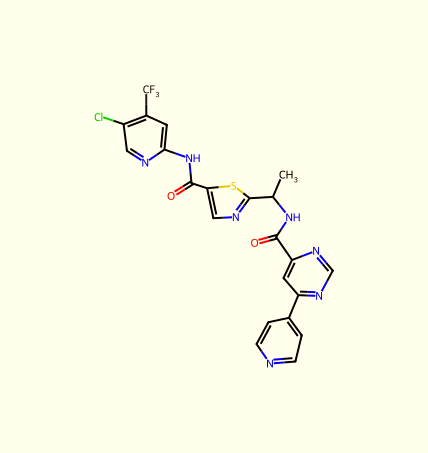 CC(NC(=O)c1cc(-c2ccncc2)ncn1)c1ncc(C(=O)Nc2cc(C(F)(F)F)c(Cl)cn2)s1